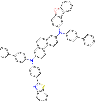 c1ccc(-c2ccc(N(c3ccc(-c4nc5ccccc5s4)cc3)c3ccc4c(ccc5cc(N(c6ccc(-c7ccccc7)cc6)c6ccc7oc8ccccc8c7c6)ccc54)c3)cc2)cc1